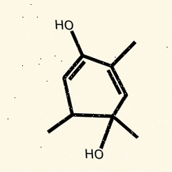 CC1=CC(C)(O)C(C)C=C1O